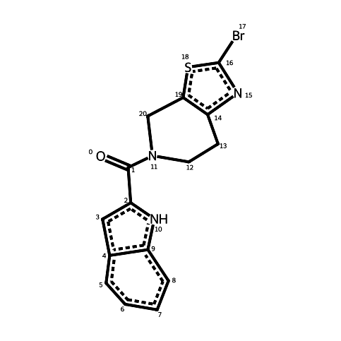 O=C(c1cc2ccccc2[nH]1)N1CCc2nc(Br)sc2C1